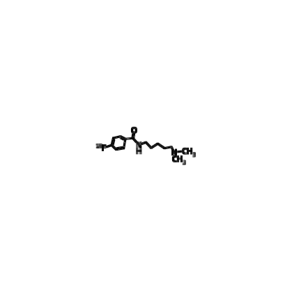 CN(C)CCCCCNC(=O)c1ccc([18F])cc1